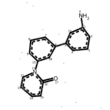 Nc1cccc(-c2cccc(-n3ccccc3=O)c2)c1